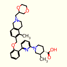 Cc1c(COc2ccccc2-c2cccc(N3CC[C@H](C(=O)O)[C@@H](C)C3)n2)ccc2c1CCN(CC1COCCO1)C2